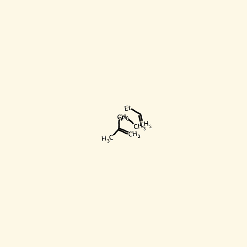 C=C(C)C.C=CCC.CCCC